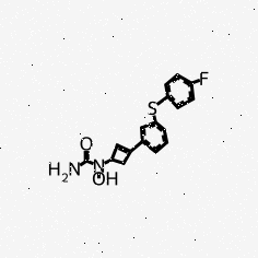 NC(=O)N(O)C1C=C(c2cccc(Sc3ccc(F)cc3)c2)C1